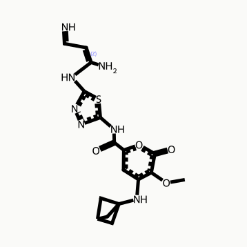 COc1c(NC23CC(C2)C3)cc(C(=O)Nc2nnc(N/C(N)=C\C=N)s2)oc1=O